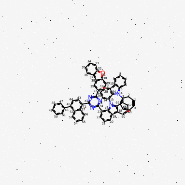 C1#CCC(n2c3ccccc3c3cccc(-n4c5c(c6cccc(-c7nc(-c8ccc9oc%10ccccc%10c9c8)nc(-c8ccc(-c9ccccc9)c9ccccc89)n7)c64)C=CCC5)c32)=CC=C1